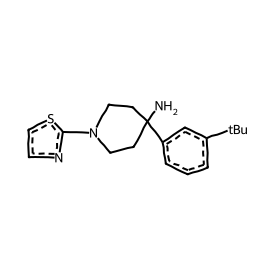 CC(C)(C)c1cccc(C2(N)CCN(c3nccs3)CC2)c1